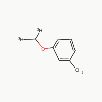 [2H]C([2H])Oc1cccc(C)c1